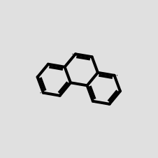 [c]1ccc2[c]cc3[c]cccc3c2c1